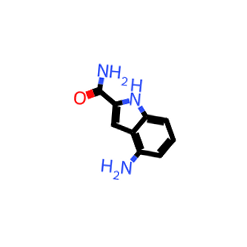 NC(=O)c1cc2c(N)cccc2[nH]1